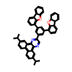 CC(C)c1ccc2c3ccc(C(C)C)cc3c3nc(-c4cc(-c5cccc6c5OC5C=CC=CC65)cc(-c5cccc6c5oc5ccccc56)c4)cnc3c2c1